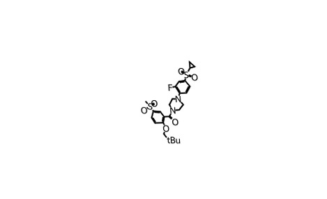 CC(C)(C)COc1ccc(S(C)(=O)=O)cc1C(=O)N1CCN(c2ccc(S(=O)(=O)C3CC3)cc2F)CC1